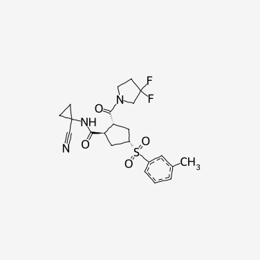 Cc1cccc(S(=O)(=O)[C@@H]2C[C@@H](C(=O)NC3(C#N)CC3)[C@H](C(=O)N3CCC(F)(F)C3)C2)c1